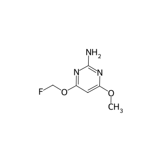 COc1cc(OCF)nc(N)n1